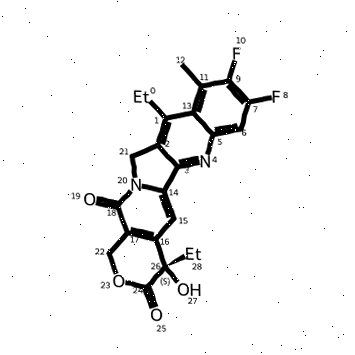 CCc1c2c(nc3cc(F)c(F)c(C)c13)-c1cc3c(c(=O)n1C2)COC(=O)[C@]3(O)CC